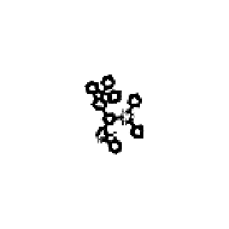 c1ccc(-c2nc(-c3ccccc3)nc(-c3cc(-c4ccc5c(c4)C(c4ccccc4)(c4ccccc4)c4ccccc4-5)cc(-c4ccnc5c4oc4ccccc45)c3)n2)cc1